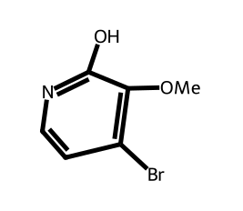 COc1c(Br)ccnc1O